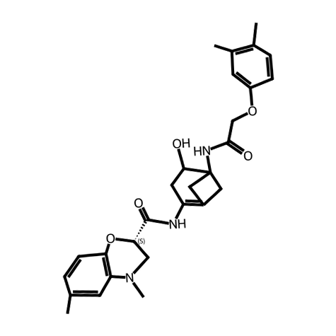 Cc1ccc2c(c1)N(C)C[C@@H](C(=O)NC1=C3CC(NC(=O)COc4ccc(C)c(C)c4)(C3)C(O)C1)O2